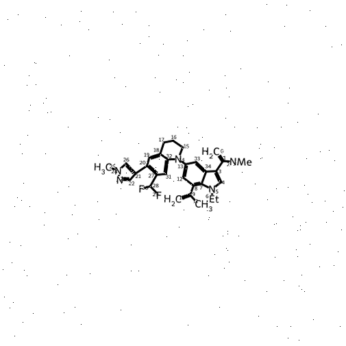 C=C(NC)c1cn(CC)c2c(C(=C)C)cc(N3CCCc4cc(-c5cnn(C)c5)c(C(F)F)cc43)cc12